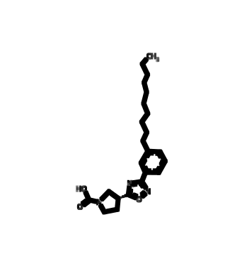 CCCCCCCCCCc1cccc(-c2noc([C@@H]3CCN(C(=O)O)C3)n2)c1